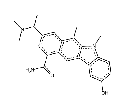 Cc1c2cc(C(C)N(C)C)nc(C(N)=O)c2cc2c3cc(O)ccc3n(C)c12